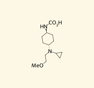 COCCN(C1CC1)[C@H]1CC[C@H](NC(=O)O)CC1